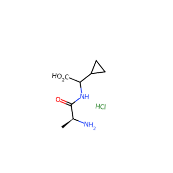 C[C@H](N)C(=O)NC(C(=O)O)C1CC1.Cl